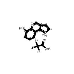 O=C(O)C(F)(F)F.Oc1cccc2c1ncc1cc[nH]c12